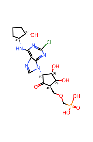 O=C1[C@H](COCP(=O)(O)O)[C@H](O)[C@H](O)[C@H]1n1cnc2c(N[C@@H]3CCC[C@@H]3O)nc(Cl)nc21